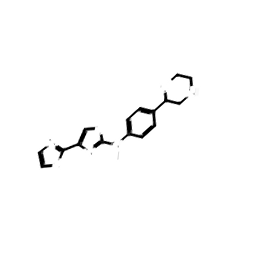 c1csc(-c2csc(Nc3ccc(C4CNCCO4)cc3)n2)n1